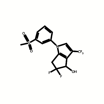 CS(=O)(=O)c1cccc(-n2cc(C(F)(F)F)c3c2CC(F)(F)C3O)c1